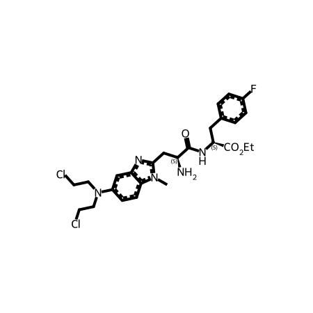 CCOC(=O)[C@H](Cc1ccc(F)cc1)NC(=O)[C@@H](N)Cc1nc2cc(N(CCCl)CCCl)ccc2n1C